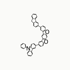 c1ccc(-n2c3ccccc3c3cc(-c4ccc5oc6cc7oc8ccc(-c9ccc%10c(c9)-c9ccccc9C%10)cc8c7cc6c5c4)ccc32)cc1